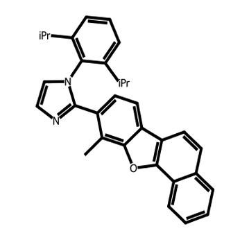 Cc1c(-c2nccn2-c2c(C(C)C)cccc2C(C)C)ccc2c1oc1c3ccccc3ccc21